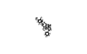 Cc1nc(N2CCC3(CC2)O[C@@H]2CC[C@@H](c4ccccc4)N2C3=O)ccc1F